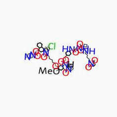 COc1cc2c(cc1OCCCCCC(=O)N1C[C@@H](CCl)c3c1cc(OC(=O)N1CCN(C)CC1)c1ccccc31)N(C(=O)OCc1ccc(NC(=O)CNC(=O)C3(C(=O)NCCCCCN4C(=O)C=CC4=O)CCC3)cc1)C[C@@H]1CCCN1C2=O